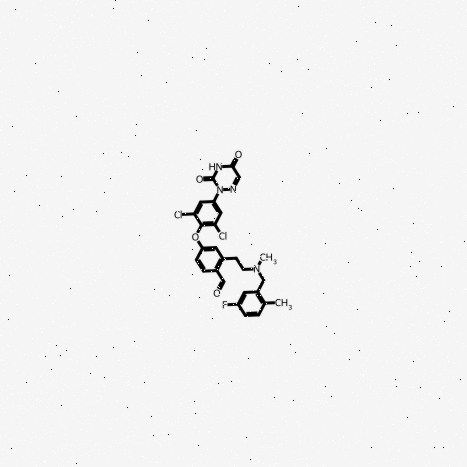 Cc1ccc(F)cc1CN(C)CCc1cc(Oc2c(Cl)cc(-n3ncc(=O)[nH]c3=O)cc2Cl)ccc1C=O